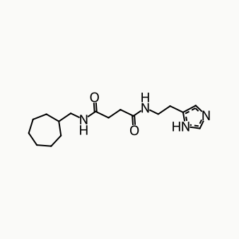 O=C(CCC(=O)NCC1CCCCCC1)NCCc1cnc[nH]1